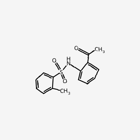 CC(=O)c1ccccc1NS(=O)(=O)c1ccccc1C